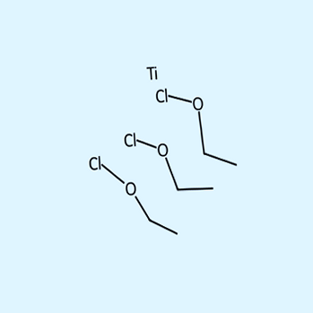 CCOCl.CCOCl.CCOCl.[Ti]